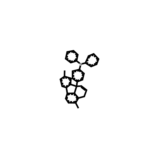 Cc1ccc2c(c1)C1(c3ccc(N(c4ccccc4)c4ccccc4)cc3)C=CCc3c(C)ccc-2c31